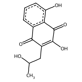 CC(O)CC1=C(O)C(=O)c2c(O)cccc2C1=O